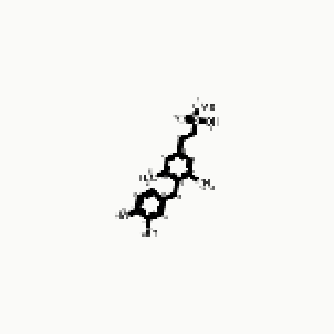 COP(=O)(O)CCc1cc(C)c(Cc2ccc(O)c(C(C)C)c2)c(C)c1